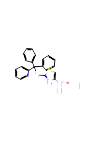 CONc1csc(NC(c2ccccc2)(c2ccccc2)c2ccccc2)n1